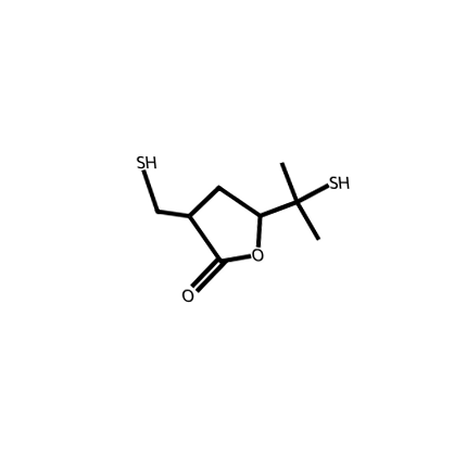 CC(C)(S)C1CC(CS)C(=O)O1